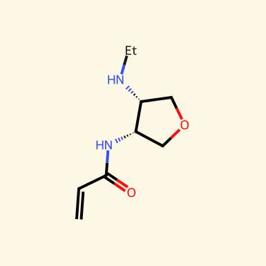 C=CC(=O)N[C@H]1COC[C@H]1NCC